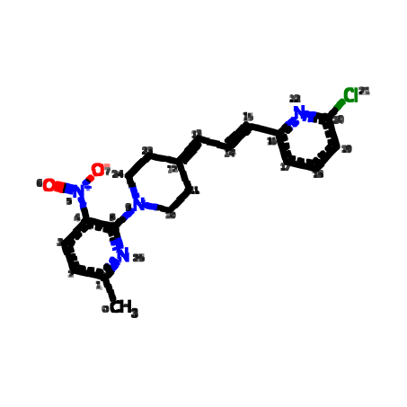 Cc1ccc([N+](=O)[O-])c(N2CCC(=C/C=C/c3cccc(Cl)n3)CC2)n1